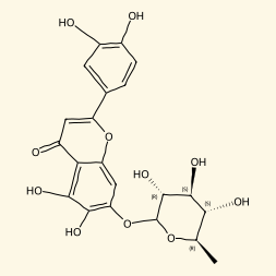 C[C@H]1OC(Oc2cc3oc(-c4ccc(O)c(O)c4)cc(=O)c3c(O)c2O)[C@H](O)[C@@H](O)[C@@H]1O